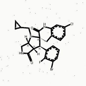 O=C1NC[C@H]2[C@@H]1[C@H](c1cccc(Br)c1F)[C@@]1(Cc3ccc(Cl)cc3NC1=O)N2CC1CC1